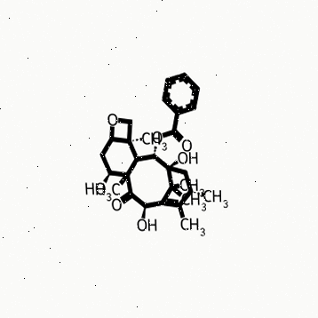 CC1=C2[C@@H](O)C(=O)C3(C)C([C@H](OC(=O)c4ccccc4)[C@](O)(C[C@@H]1C)C2(C)C)[C@]1(C)COC1C[C@@H]3O